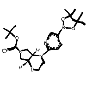 CC(C)(C)OC(=O)N1C[C@H]2OCCN(c3ccc(B4OC(C)(C)C(C)(C)O4)cn3)[C@H]2C1